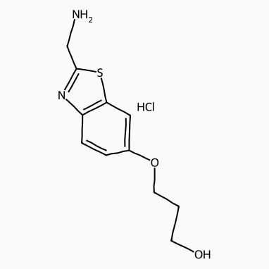 Cl.NCc1nc2ccc(OCCCO)cc2s1